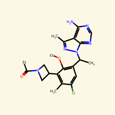 CCOc1c(C(C)n2nc(C)c3c(N)ncnc32)cc(Cl)c(C)c1C1CN(C(=O)CC)C1